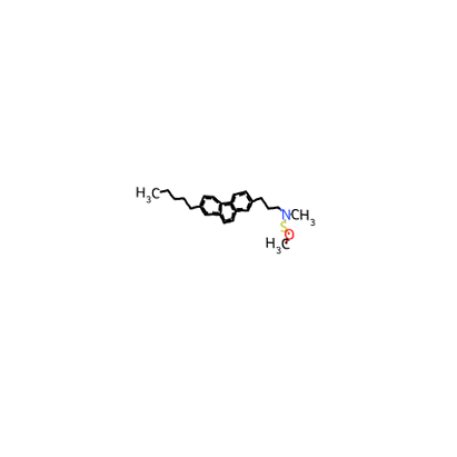 CCCCCc1ccc2c(ccc3cc(CCCN(C)SOC)ccc32)c1